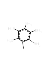 Bc1c(B)c(B)c(C)c(B)c1B